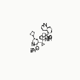 CC(C)Oc1ncc(C2CCC2)cc1C1(C(=O)NS(=O)(=O)c2cccc3ncccc23)CC1